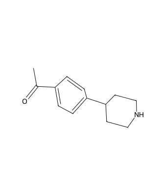 CC(=O)c1ccc(C2CCNCC2)cc1